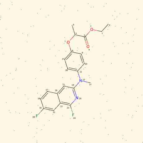 CCOC(=O)C(C)Oc1ccc(N(C)c2cc3ccc(F)cc3c(F)n2)cc1